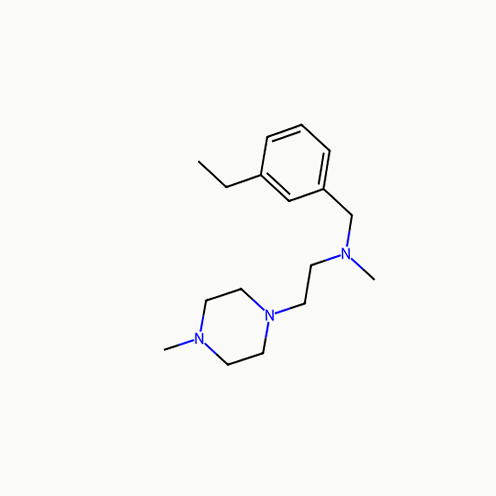 CCc1cccc(CN(C)CCN2CCN(C)CC2)c1